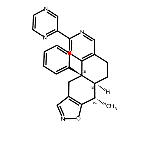 C[C@@H]1c2oncc2C[C@]2(c3ccccc3)c3nc(-c4cnccn4)ncc3CC[C@@H]12